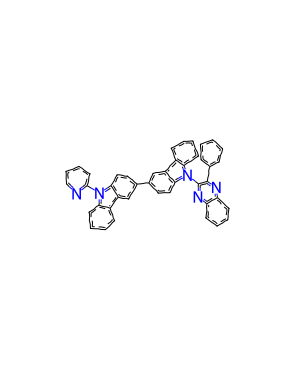 c1ccc(-c2nc3ccccc3nc2-n2c3ccccc3c3cc(-c4ccc5c(c4)c4ccccc4n5-c4ccccn4)ccc32)cc1